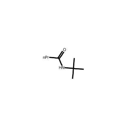 CCCC(=O)NC(C)(C)C